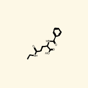 CCNC(=O)CCC(NC(=O)c1ccccc1)C(=O)O